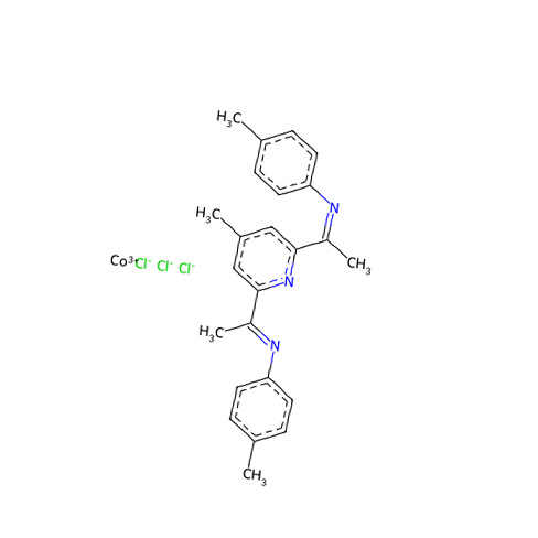 CC(=Nc1ccc(C)cc1)c1cc(C)cc(C(C)=Nc2ccc(C)cc2)n1.[Cl-].[Cl-].[Cl-].[Co+3]